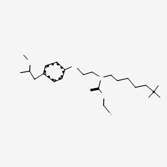 CCOC(Cc1ccc(OCCN(CCCCCC(C)(F)F)C(=O)NCC(C)C)cc1)C(=O)O